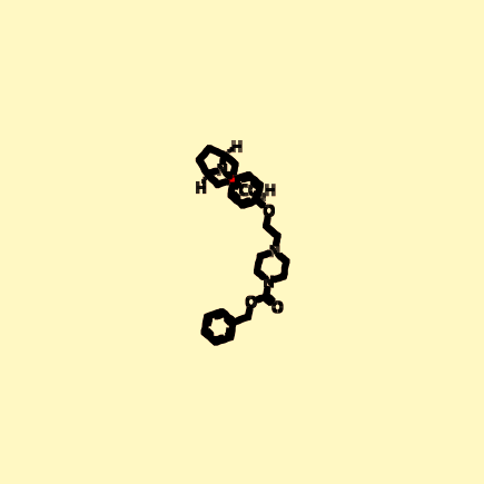 O=C(O)N1C[C@H]2CC[C@@H](C1)N2c1ccc(OCCN2CCN(C(=O)OCc3ccccc3)CC2)cc1